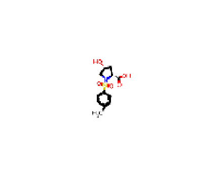 Cc1ccc(S(=O)(=O)N2C[C@H](O)C[C@@H]2C(=O)O)cc1